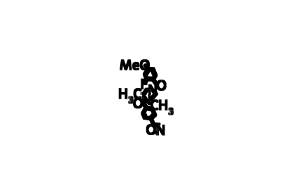 COc1ccc(C(=O)N2C[C@@H](C)N(C(=O)c3ccc(-c4cnco4)cc3)[C@H](C)C2)c(F)c1